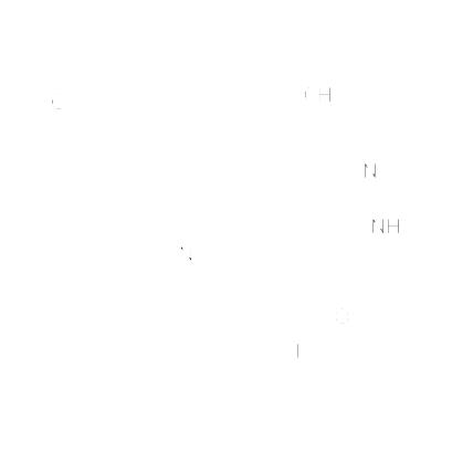 Cc1n[nH]c(=O)c(-c2ncccc2I)c1-c1ccc(Cl)cc1